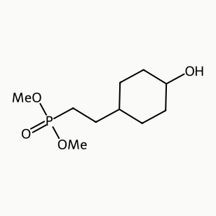 COP(=O)(CCC1CCC(O)CC1)OC